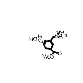 COC(=O)c1cccc(CNN)c1.Cl.Cl